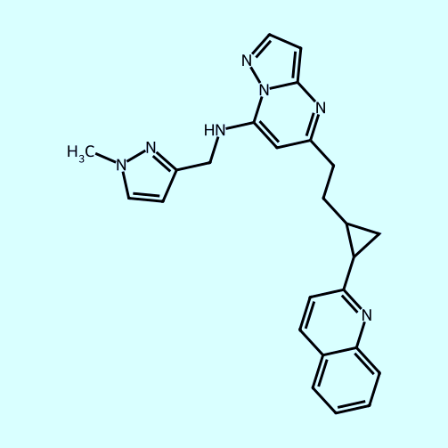 Cn1ccc(CNc2cc(CCC3CC3c3ccc4ccccc4n3)nc3ccnn23)n1